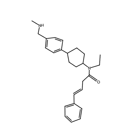 CCN(C(=O)C/C=C/c1ccccc1)C1CCC(c2ccc(CNC)cc2)CC1